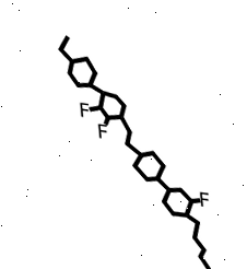 CCCCCC1CCC(C2CCC(CCC3CCC(C4CCC(CC)CC4)C(F)C3F)CC2)CC1F